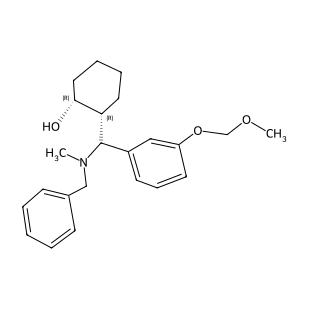 COCOc1cccc(C([C@H]2CCCC[C@H]2O)N(C)Cc2ccccc2)c1